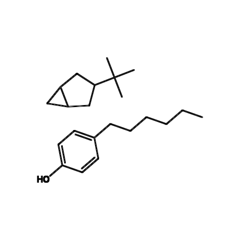 CC(C)(C)C1CC2CC2C1.CCCCCCc1ccc(O)cc1